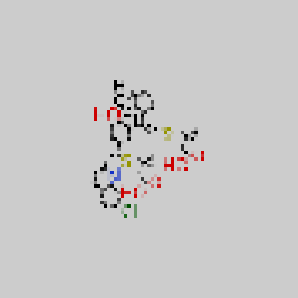 CC(C)(O)c1ccccc1C(CCSCC1(CC(=O)O)CC1)c1cccc([C@H](Cc2ccc3ccc(Cl)cc3n2)SCC2(CC(=O)O)CC2)c1